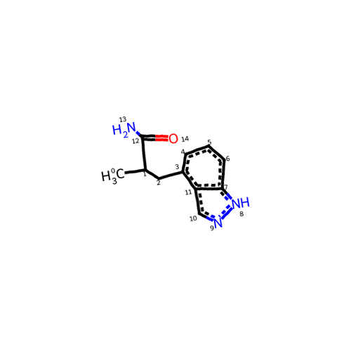 CC(Cc1cccc2[nH]ncc12)C(N)=O